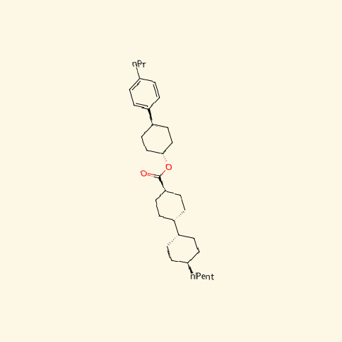 CCCCC[C@H]1CC[C@H]([C@H]2CC[C@H](C(=O)O[C@H]3CC[C@H](c4ccc(CCC)cc4)CC3)CC2)CC1